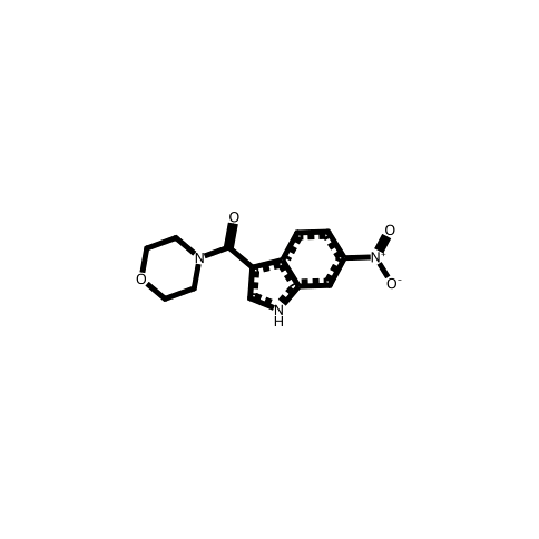 O=C(c1c[nH]c2cc([N+](=O)[O-])ccc12)N1CCOCC1